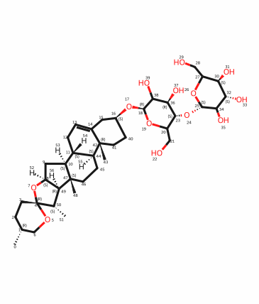 C[C@@H]1CC[C@@]2(OC1)O[C@H]1C[C@H]3[C@@H]4CC=C5C[C@@H](O[C@@H]6OC(CO)[C@@H](O[C@@H]7OC(CO)[C@@H](O)[C@H](O)C7O)[C@H](O)C6O)CC[C@]5(C)[C@H]4CC[C@]3(C)[C@H]1[C@@H]2C